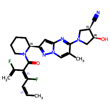 C=C(F)/C(C(=O)N1CCCC[C@H]1c1cc2nc(N3C[C@@H](C#N)[C@@H](O)C3)c(C)cn2n1)=C(F)\C=C/C